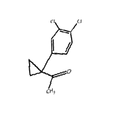 CC(=O)C1(c2ccc(Cl)c(Cl)c2)CC1